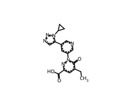 CCc1cc(C(=O)O)nn(-c2cncc(-c3cnnn3C3CC3)c2)c1=O